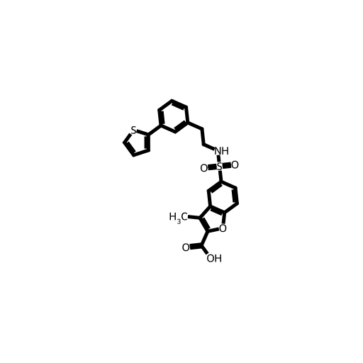 Cc1c(C(=O)O)oc2ccc(S(=O)(=O)NCCc3cccc(-c4cccs4)c3)cc12